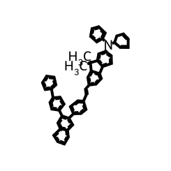 CC1(C)c2cc(/C=C/c3ccc(-c4cc5ccccc5cc4-c4ccc(-c5ccccc5)cc4)cc3)ccc2-c2ccc(N(c3ccccc3)C3C=CC=CC3)cc21